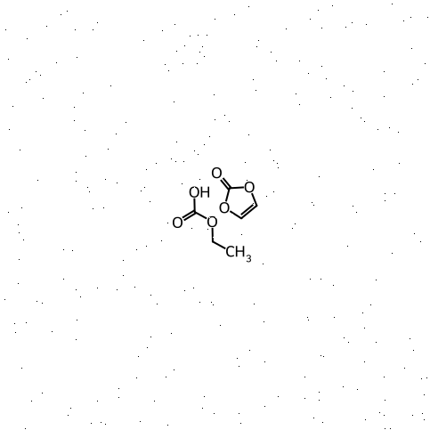 CCOC(=O)O.O=c1occo1